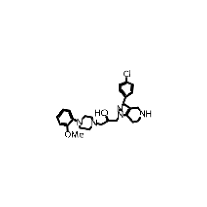 COc1ccccc1N1CCN(CC(O)Cn2nc(-c3ccc(Cl)cc3)c3c2CCNC3)CC1